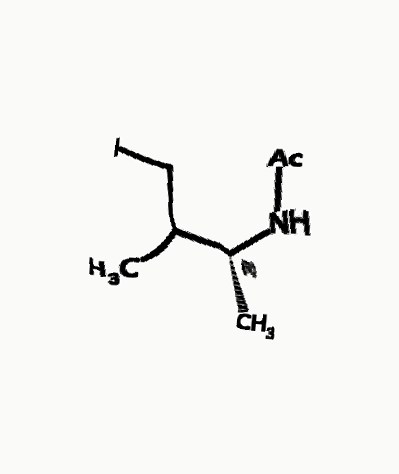 CC(=O)N[C@H](C)C(C)CI